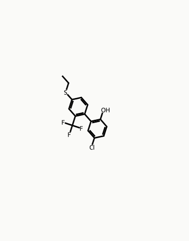 CCSc1ccc(-c2cc(Cl)ccc2O)c(C(F)(F)F)c1